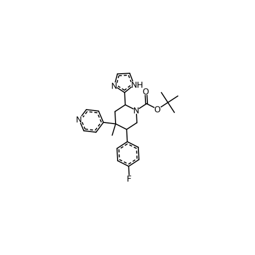 CC(C)(C)OC(=O)N1CC(c2ccc(F)cc2)C(C)(c2ccncc2)CC1c1ncc[nH]1